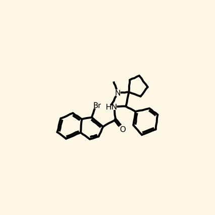 CN(C)C1(C(NC(=O)c2ccc3ccccc3c2Br)c2ccccc2)CCCC1